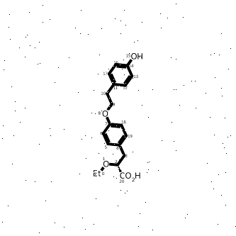 CCO[C@@H](Cc1ccc(OCCc2ccc(O)cc2)cc1)C(=O)O